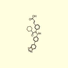 [2H]C(c1ccc(-c2ccc3ncsc3c2)cc1)N(C(=O)C1CCCCC1)c1cccc(/C=C/C(=O)O)c1